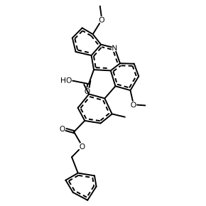 COc1ccc2nc3c(OC)cccc3c(C(=O)O)c2c1-c1c(C)cc(C(=O)OCc2ccccc2)cc1C